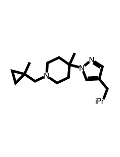 CC(C)Cc1cnn(C2(C)CCN(CC3(C)CC3)CC2)c1